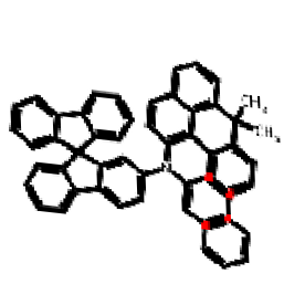 CC1(C)c2ccc(-c3ccccc3)cc2-c2c(N(c3ccccc3)c3ccc4c(c3)C3(c5ccccc5-c5ccccc53)c3ccccc3-4)ccc3cccc1c23